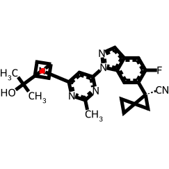 Cc1nc(N2CC3(C(C)(C)O)CC2C3)cc(-n2ncc3cc(F)c([C@@]4(C#N)CC45CC5)cc32)n1